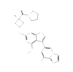 COc1nc(N[C@H]2C[C@@](C)(C(=O)N3CCCC3)C2)nc2[nH]cc(-c3cc(F)c4nccn4c3)c12